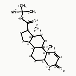 CCCC(C)(C)NC(=O)C1CCC2C3CCC4NC(=O)C=C[C@]4(C)C3CC[C@]12C